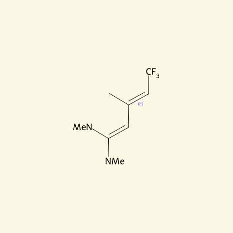 CNC(=C/C(C)=C/C(F)(F)F)NC